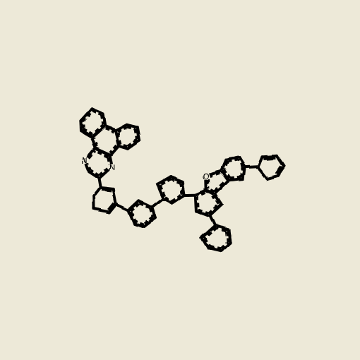 C1=CCC(c2ccc3oc4c(-c5cccc(-c6cccc(C7=CCCC(c8cnc9c%10ccccc%10c%10ccccc%10c9n8)=C7)c6)c5)cc(-c5ccccc5)cc4c3c2)C=C1